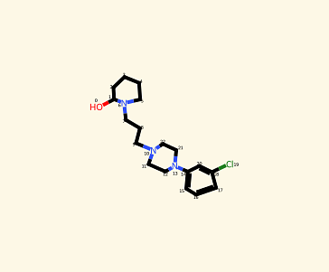 OC1CCCCN1CCCN1CCN(c2cccc(Cl)c2)CC1